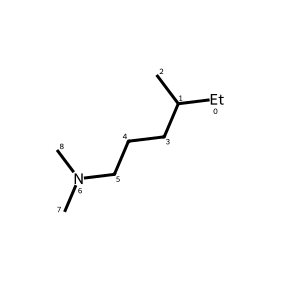 CCC(C)CCCN(C)C